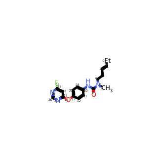 CCC=CCCN(C)C(=O)Nc1ccc(Oc2cc(F)ncn2)cc1